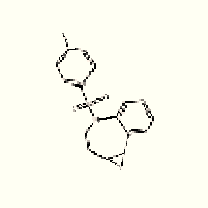 Cc1ccc(S(=O)(=O)N2CCC3OC3c3ccccc32)cc1